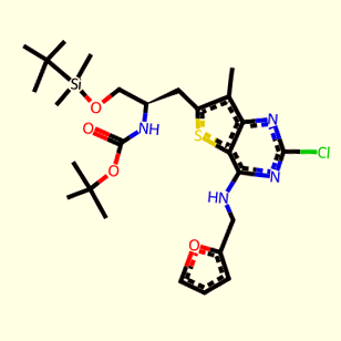 Cc1c(C[C@H](CO[Si](C)(C)C(C)(C)C)NC(=O)OC(C)(C)C)sc2c(NCc3ccco3)nc(Cl)nc12